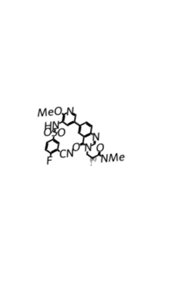 CNC(=O)[C@H](C)Cn1cnc2ccc(-c3cnc(OC)c(NS(=O)(=O)c4ccc(F)c(C#N)c4)c3)cc2c1=O